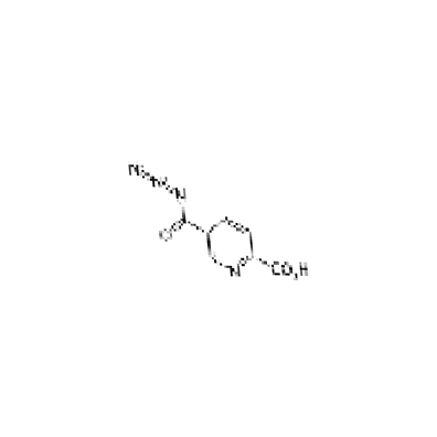 [N-]=[N+]=NC(=O)c1ccc(C(=O)O)nc1